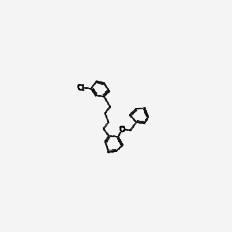 Clc1cccc(CCCCc2ccccc2OCc2ccccc2)c1